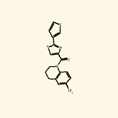 O=C(c1csc(-c2ccsc2)n1)N1CCCc2cc(C(F)(F)F)ccc21